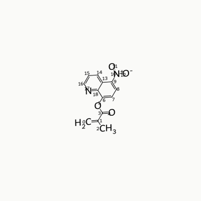 C=C(C)C(=O)Oc1ccc([N+](=O)[O-])c2cccnc12